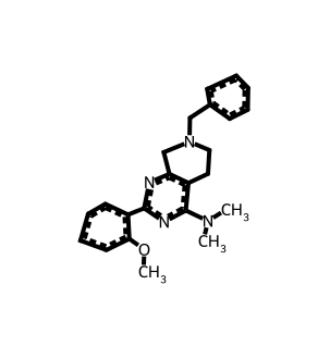 COc1ccccc1-c1nc2c(c(N(C)C)n1)CCN(Cc1ccccc1)C2